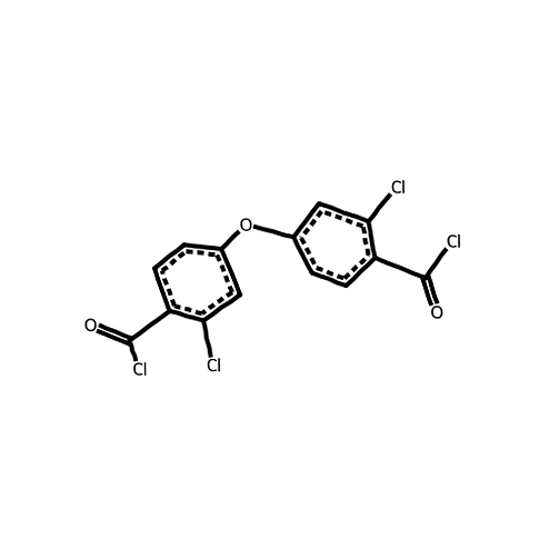 O=C(Cl)c1ccc(Oc2ccc(C(=O)Cl)c(Cl)c2)cc1Cl